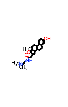 CN(C)CCNC(=O)CC1CC2C3CCc4cc(O)ccc4C3CC[C@]2(C)C1=O